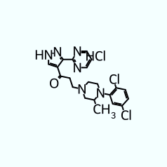 CC1CN(CCC(=O)c2c[nH]nc2-c2ncccn2)CCN1c1cc(Cl)ccc1Cl.Cl